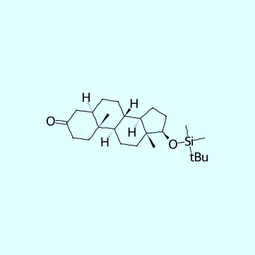 CC(C)(C)[Si](C)(C)O[C@@H]1CC[C@@H]2[C@H]3CC[C@@H]4CC(=O)CC[C@@]4(C)[C@@H]3CC[C@]21C